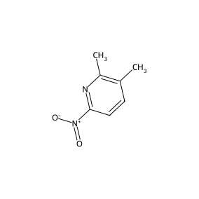 Cc1ccc([N+](=O)[O-])nc1C